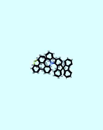 c1ccc2c(c1)-c1ccccc1C21c2ccccc2-c2c1ccc1c3ccccc3n(-c3cccc4c5cccc6sc7cccc(c34)c7c65)c21